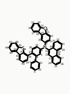 c1ccc(-c2cc(N(c3ccc4oc5ccccc5c4c3)c3cc4ccccc4c4ccccc34)ccc2-c2cccc3c2sc2ccccc23)cc1